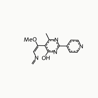 C=N/C=C(/OC)c1c(C)nc(-c2ccncc2)nc1O